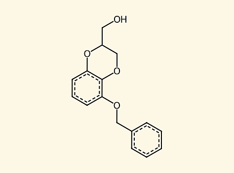 OCC1COc2c(OCc3ccccc3)cccc2O1